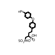 CCCc1ccc(Oc2ccc(CCC(CS(=O)(=O)O)P(=O)(O)O)cc2)cc1